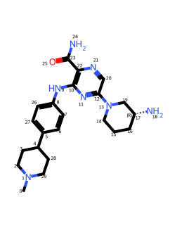 CN1CCC(c2ccc(Nc3nc(N4CCC[C@@H](N)C4)cnc3C(N)=O)cc2)CC1